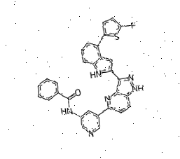 O=C(Nc1cncc(-c2ccc3[nH]nc(-c4cc5c(-c6ccc(F)s6)cccc5[nH]4)c3n2)c1)c1ccccc1